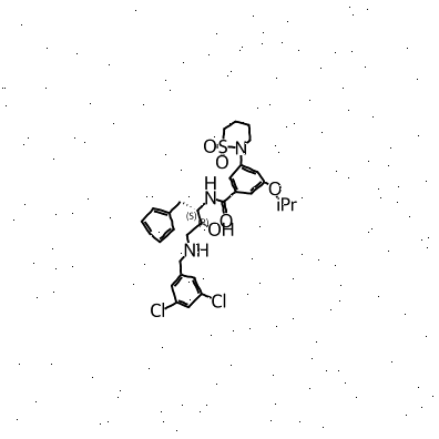 CC(C)Oc1cc(C(=O)N[C@@H](Cc2ccccc2)[C@H](O)CNCc2cc(Cl)cc(Cl)c2)cc(N2CCCCS2(=O)=O)c1